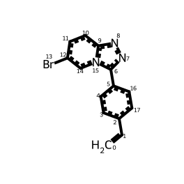 C=Cc1ccc(-c2nnc3ccc(Br)cn23)cc1